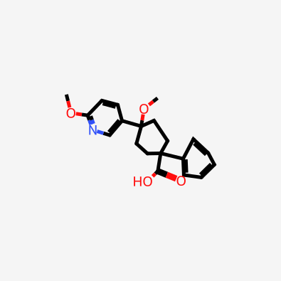 COc1ccc(C2(OC)CCC(C(=O)O)(c3ccccc3)CC2)cn1